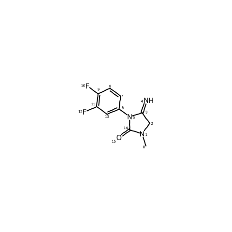 CN1CC(=N)N(c2ccc(F)c(F)c2)C1=O